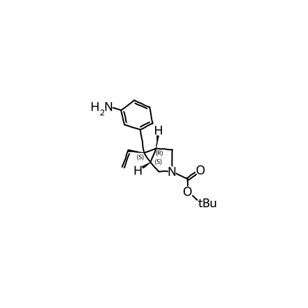 C=C[C@@]1(c2cccc(N)c2)[C@@H]2CN(C(=O)OC(C)(C)C)C[C@@H]21